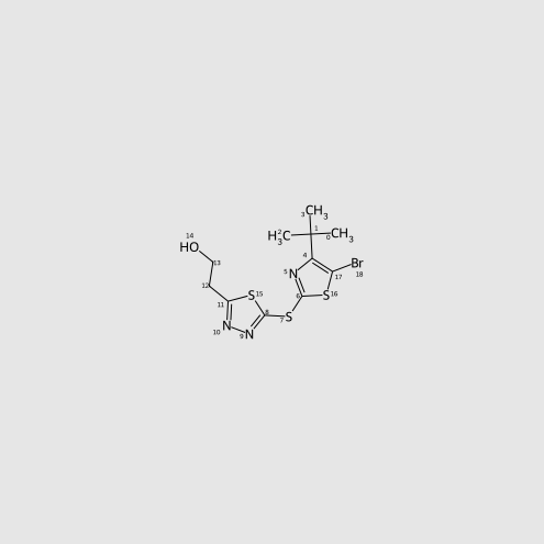 CC(C)(C)c1nc(Sc2nnc(CCO)s2)sc1Br